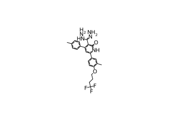 Cc1ccc(-c2cc(-c3ccc(OCCCC(F)(F)F)c(C)c3)[nH]c(=O)c2/C(=N/N)NN)cc1